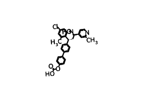 Cc1cc(/C(C[C@H](c2ccc(-c3ccc(OC(=O)O)cc3)cc2)c2ccc(Cl)cc2C)=N/O)ccn1